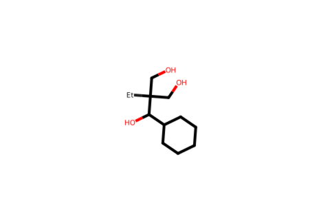 CCC(CO)(CO)C(O)C1CCCCC1